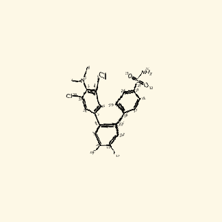 CN(C)c1c(Cl)cc(-c2cc(F)c(F)cc2-c2ccc(S(N)(=O)=O)cc2)cc1Cl